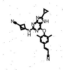 Cc1cc(/C=C/C#N)cc(C)c1Oc1nc(NC23CC(C#N)(C2)C3)nc2nc(C3CC3)[nH]c12